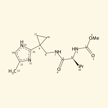 COC(=O)N[C@H](C(=O)NCC1(c2nc(C)c[nH]2)CC1)C(C)C